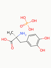 C[C@](N)(Cc1ccc(O)c(O)c1)C(=O)O.O=P(O)(O)O